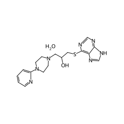 O.OC(CSc1ncnc2[nH]cnc12)CN1CCN(c2ccccn2)CC1